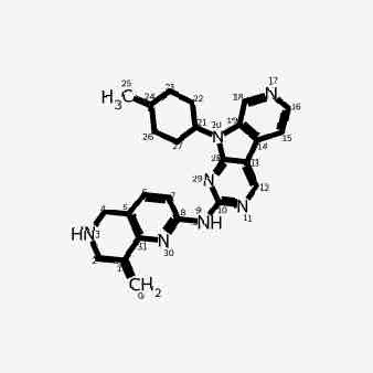 C=C1CNCc2ccc(Nc3ncc4c5ccncc5n(C5CCC(C)CC5)c4n3)nc21